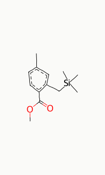 COC(=O)c1ccc(C)cc1C[Si](C)(C)C